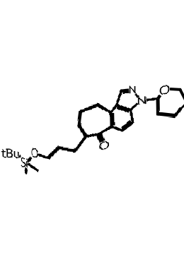 CC(C)(C)[Si](C)(C)OCCCC1CCCc2c(ccc3c2cnn3C2CCCCO2)C1=O